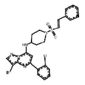 O=S(=O)(/C=C/c1ccccc1)N1CCC(Nc2cc(-c3ccccc3Cl)nc3c(Br)cnn23)CC1